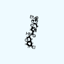 CCS(=O)(=O)OC1CCn2nc(C(=O)NC3COc4ccc(Cl)cc4C3)cc2O1